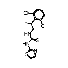 CC(CNC(=S)Nc1nccs1)c1c(Cl)cccc1Cl